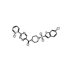 O=C(c1cnc(-c2cccc[n+]2[O-])nn1)N1CCN(S(=O)(=O)c2cc3ccc(Cl)cc3s2)CC1